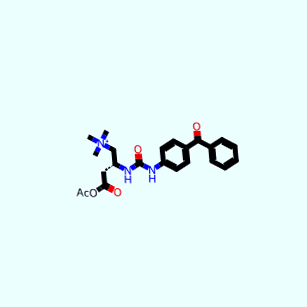 CC(=O)OC(=O)C[C@H](C[N+](C)(C)C)NC(=O)Nc1ccc(C(=O)c2ccccc2)cc1